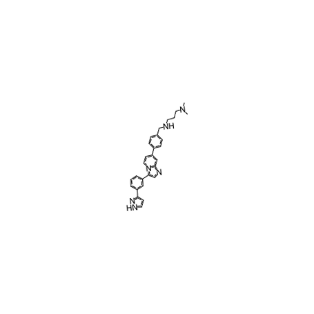 CN(C)CCCNCc1ccc(-c2ccn3c(-c4cccc(-c5cc[nH]n5)c4)cnc3c2)cc1